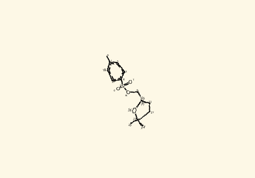 Cc1ccc(S(=O)(=O)OC[C@H]2CCC(C)(C)O2)cc1